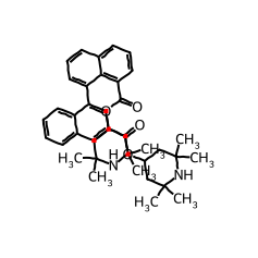 CC1(C)CC(OC(=O)c2cc(-c3cccc4cccc(C(=O)OC5CC(C)(C)NC(C)(C)C5)c34)c3ccccc3c2)CC(C)(C)N1